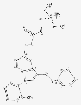 Cc1ccccc1-n1cc(CCc2ccccc2)c2cc(CCC(=O)OCC(N)(CO)CO)ccc21